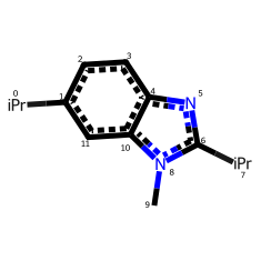 CC(C)c1ccc2nc(C(C)C)n(C)c2c1